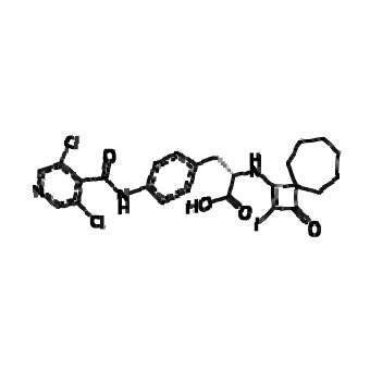 O=C(Nc1ccc(C[C@H](NC2=C(I)C(=O)C23CCCCCC3)C(=O)O)cc1)c1c(Cl)cncc1Cl